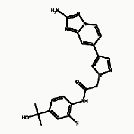 CC(C)(O)c1ccc(NC(=O)Cn2cc(-c3ccn4nc(N)nc4c3)cn2)c(F)c1